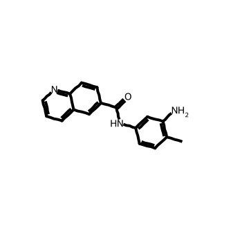 Cc1ccc(NC(=O)c2ccc3ncccc3c2)cc1N